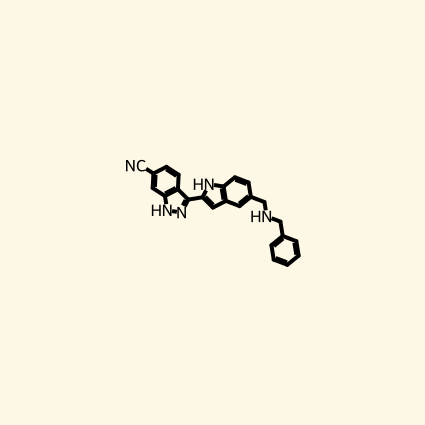 N#Cc1ccc2c(-c3cc4cc(CNCc5ccccc5)ccc4[nH]3)n[nH]c2c1